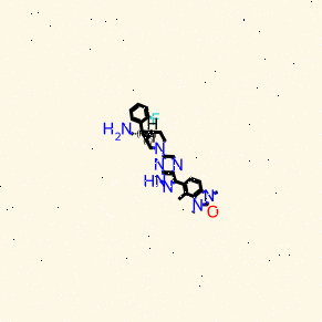 Cc1c(-c2n[nH]c3nc(N4CC[C@@H]5[C@H](C4)[C@@]5(CN)c4ccccc4F)cnc23)ccc2c1n(C)c(=O)n2C